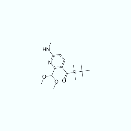 CNc1ccc(C(=O)[Si](C)(C)C(C)(C)C)c(C(OC)OC)n1